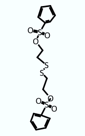 O=S(=O)(OCCSSCCOS(=O)(=O)c1ccccc1)c1ccccc1